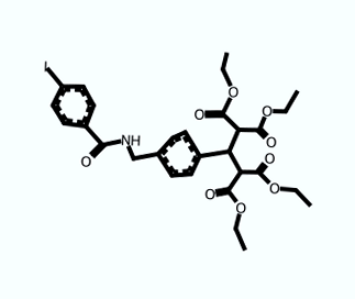 CCOC(=O)C(C(=O)OCC)C(c1ccc(CNC(=O)c2ccc(I)cc2)cc1)C(C(=O)OCC)C(=O)OCC